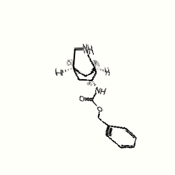 O=C(N[C@@H]1C[C@H]2CN[C@@H]1C2)OCc1ccccc1